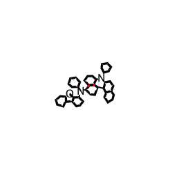 c1ccc(N(c2ccccc2)c2ccc3ccccc3c2-c2ccc(N(c3ccccc3)c3cccc4c3oc3ccccc34)cc2)cc1